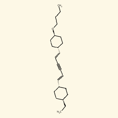 CCCCO[C@H]1CC[C@H](C=CC#CC=C[C@H]2CC[C@H](CC)CC2)CC1